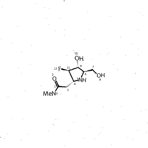 CNC(=O)C[C@H]1N[C@H](CO)[C@@H](O)[C@@H]1F